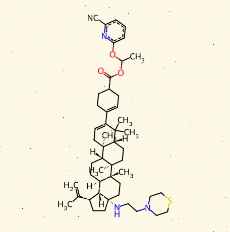 C=C(C)[C@@H]1CC[C@]2(NCCN3CCSCC3)CC[C@]3(C)[C@H](CC[C@@H]4[C@@]5(C)CC=C(C6=CCC(C(=O)OC(C)Oc7cccc(C#N)n7)CC6)C(C)(C)[C@@H]5CC[C@]43C)[C@@H]12